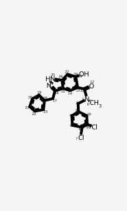 CN(Cc1ccc(Cl)c(Cl)c1)C(=O)c1cc2c(Cc3ccccc3)n[nH]c2cc1O